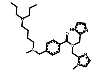 CCCN(CCC)CCCCN(C)Cc1ccc(C(=O)N(Cc2ncc[nH]2)Cc2nccn2C)cc1